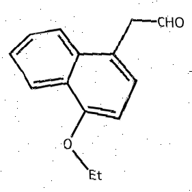 CCOc1ccc(CC=O)c2ccccc12